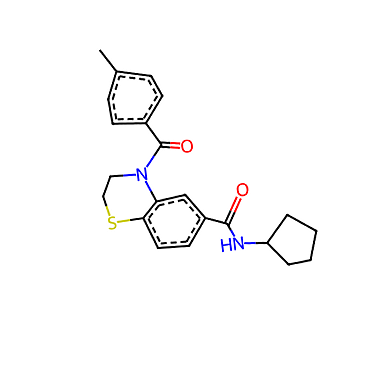 Cc1ccc(C(=O)N2CCSc3ccc(C(=O)NC4CCCC4)cc32)cc1